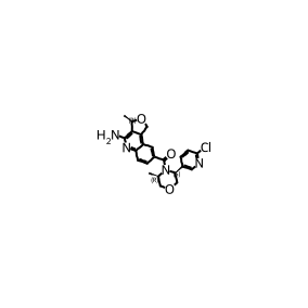 C[C@@H]1COC[C@H](c2ccc(Cl)nc2)N1C(=O)c1ccc2nc(N)c3c(c2c1)CO[C@@H]3C